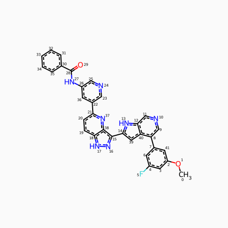 COc1cc(F)cc(-c2cncc3[nH]c(-c4n[nH]c5ccc(-c6cncc(NC(=O)c7ccccc7)c6)nc45)cc23)c1